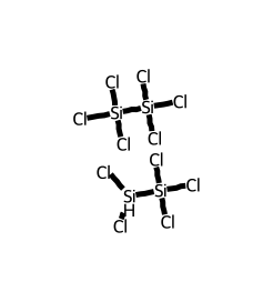 Cl[SiH](Cl)[Si](Cl)(Cl)Cl.Cl[Si](Cl)(Cl)[Si](Cl)(Cl)Cl